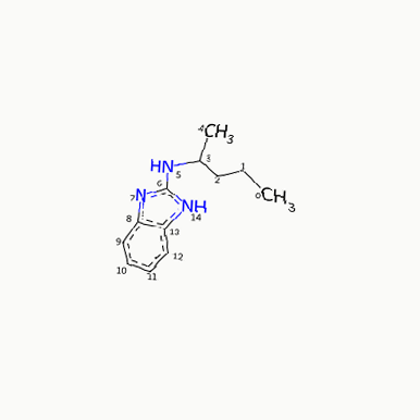 CCCC(C)Nc1nc2ccccc2[nH]1